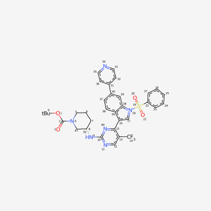 CC(C)(C)OC(=O)N1CCC[C@H](Nc2ncc(C(F)(F)F)c(-c3cn(S(=O)(=O)c4ccccc4)c4cc(-c5ccncc5)ccc34)n2)C1